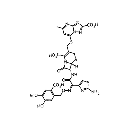 CC(=O)Oc1cc(C(=O)O)c(CO/N=C(\C(=O)N[C@@H]2C(=O)N3C(C(=O)O)=C(CSc4cc(C)nc5nc(C(=O)O)nn45)CS[C@H]23)c2csc(N)n2)cc1O